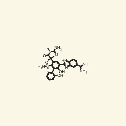 CN(C(N)=O)C(=O)C(C)(C)c1cc(-c2nc3cc(C(=N)N)ccc3[nH]2)c(O)c(-c2ccccc2O)c1S(N)(=O)=O